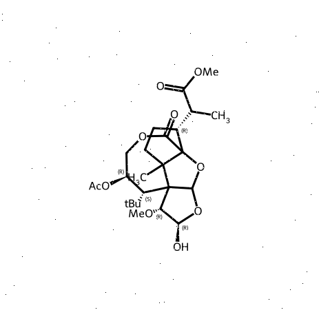 COC(=O)C(C)[C@H]1CCC2(C)C13OC1O[C@@H](O)[C@H](OC)C12[C@H](C(C)(C)C)[C@@H](OC(C)=O)COC3=O